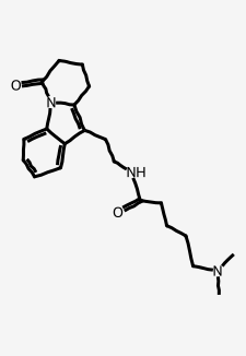 CN(C)CCCCC(=O)NCCc1c2n(c3ccccc13)C(=O)CCC2